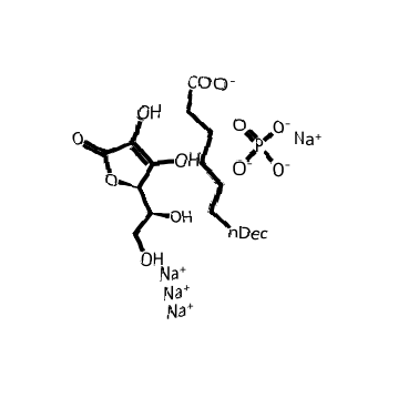 CCCCCCCCCCCCCCCC(=O)[O-].O=C1O[C@H]([C@@H](O)CO)C(O)=C1O.O=P([O-])([O-])[O-].[Na+].[Na+].[Na+].[Na+]